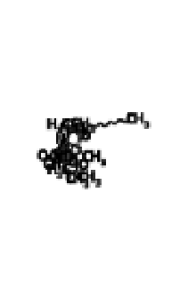 CCCCCCCCCC(=O)O[C@@]12CC[C@]34C=C(C)[C@H](OC(=O)C(C)C(C)C)[C@@]3(O)[C@H](O)C(COC(C)=O)=C[C@H](C4=O)[C@H]1C2(C)C